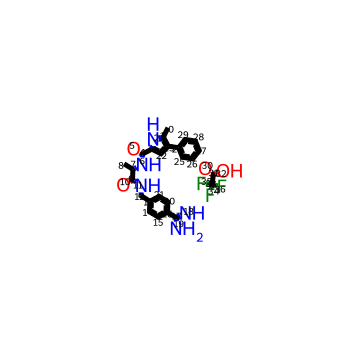 Cc1[nH]c(C(=O)NC(C)C(=O)NCc2ccc(C(=N)N)cc2)cc1-c1ccccc1.O=C(O)C(F)(F)F